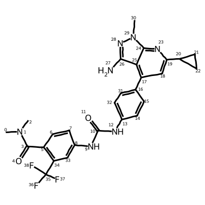 CN(C)C(=O)c1ccc(NC(=O)Nc2ccc(-c3cc(C4CC4)nc4c3c(N)nn4C)cc2)cc1C(F)(F)F